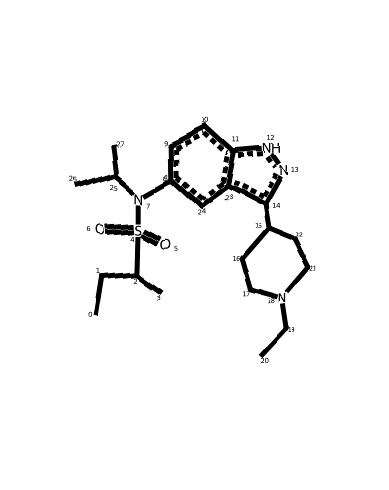 CCC(C)S(=O)(=O)N(c1ccc2[nH]nc(C3CCN(CC)CC3)c2c1)C(C)C